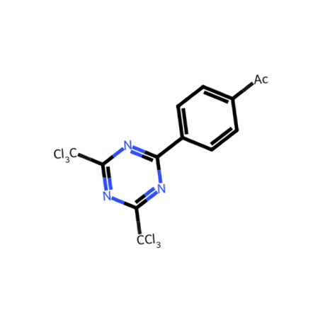 CC(=O)c1ccc(-c2nc(C(Cl)(Cl)Cl)nc(C(Cl)(Cl)Cl)n2)cc1